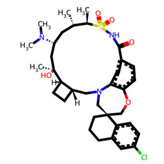 C[C@@H]1[C@@H](C)C[C@@H](N(C)C)C[C@](C)(O)[C@@H]2CC[C@H]2CN2C[C@@]3(CCCc4cc(Cl)ccc43)COc3ccc(cc32)C(=O)NS1(=O)=O